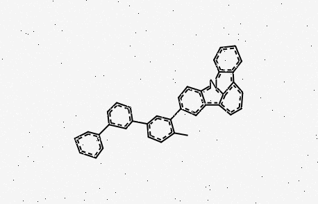 Cc1ccc(-c2cccc(-c3ccccc3)c2)cc1-c1ccc2c(c1)c1cccc3c4ccccc4n2c31